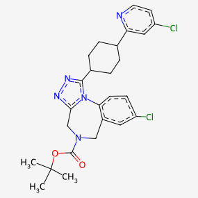 CC(C)(C)OC(=O)N1Cc2cc(Cl)ccc2-n2c(nnc2C2CCC(c3cc(Cl)ccn3)CC2)C1